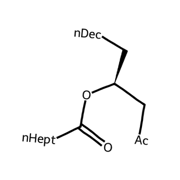 CCCCCCCCCCC[C@@H](CC(C)=O)OC(=O)CCCCCCC